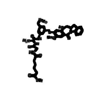 COCc1cc(COc2cc3c(cc2OC)C(=O)N2c4ccccc4CC2CN3)cc(NC(=O)C(C)NC(=O)CNC(=O)CCCCC(=O)OC)c1